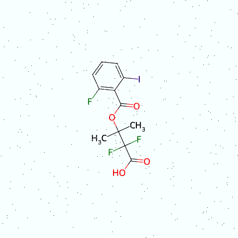 CC(C)(OC(=O)c1c(F)cccc1I)C(F)(F)C(=O)O